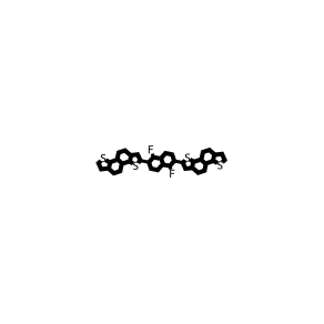 Fc1c(-c2cc3ccc4c(ccc5ccsc54)c3s2)ccc2c(F)c(-c3cc4ccc5c(ccc6ccsc65)c4s3)ccc12